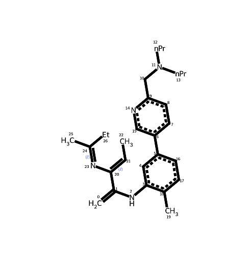 C=C(Nc1cc(-c2ccc(CN(CCC)CCC)nc2)ccc1C)C(=C/C)/N=C(/C)CC